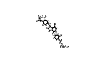 COCCOc1ccc(Oc2ccc(F)c3c2CC[C@H]3Oc2ccc([C@H]3C[C@@H]3C(=O)O)cc2)cc1F